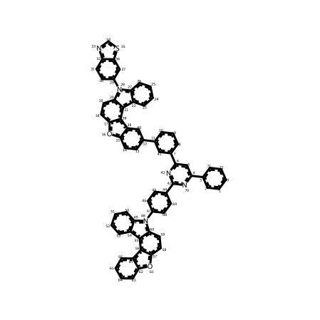 c1ccc(-c2cc(-c3cccc(-c4ccc5oc6ccc7c(c8ccccc8n7-c7ccc8ncsc8c7)c6c5c4)c3)nc(-c3ccc(-n4c5ccccc5c5c6c(ccc54)oc4ccccc46)cc3)n2)cc1